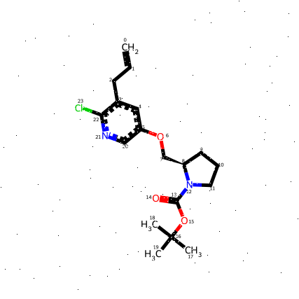 C=CCc1cc(OC[C@H]2CCCN2C(=O)OC(C)(C)C)cnc1Cl